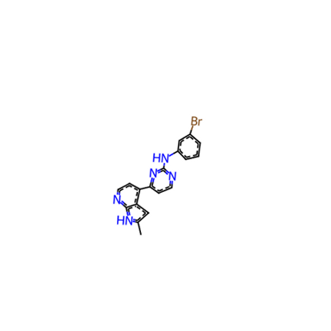 Cc1cc2c(-c3ccnc(Nc4cccc(Br)c4)n3)ccnc2[nH]1